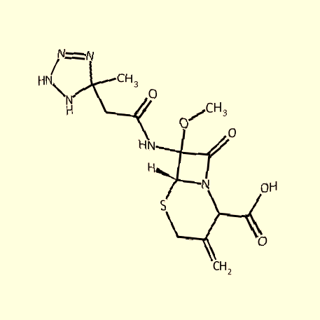 C=C1CS[C@H]2N(C(=O)C2(NC(=O)CC2(C)N=NNN2)OC)C1C(=O)O